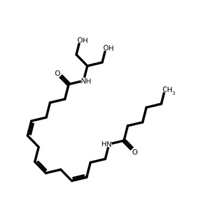 CCCCCC(=O)NCC/C=C\C/C=C\C/C=C\CCCC(=O)NC(CO)CO